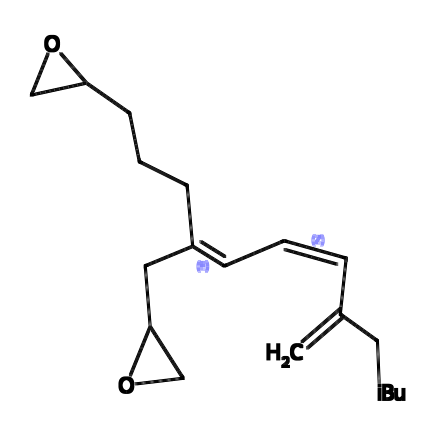 C=C(/C=C\C=C(/CCCC1CO1)CC1CO1)CC(C)CC